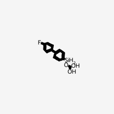 OC(O)O[SiH2]c1ccc(-c2ccc(F)cc2)cc1